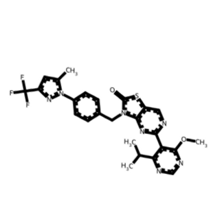 COc1ncnc(C(C)C)c1-c1ncc2sc(=O)n(Cc3ccc(-n4nc(C(F)(F)F)cc4C)cc3)c2n1